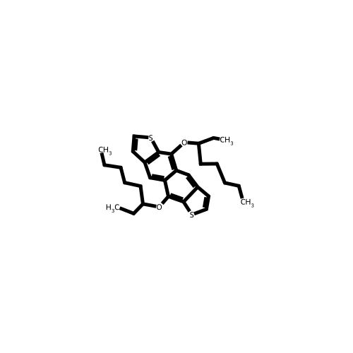 CCCCCC(CC)Oc1c2cc3ccsc3c(OC(CC)CCCCC)c2cc2ccsc12